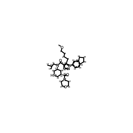 COCCCCc1c(C(=O)N(CC(C)C)[C@@H]2CNC[C@H](C(=O)N3CCOCC3)C2)nnn1-c1ccc2c(c1)CCC2